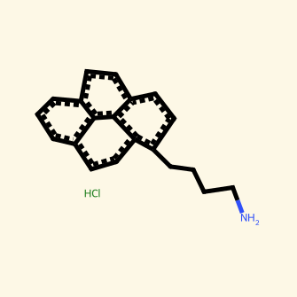 Cl.NCCCCc1ccc2ccc3cccc4ccc1c2c34